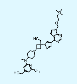 CN(c1cc(CO)cc(C(F)(F)F)n1)C1CCN([C@H]2C[C@](CC#N)(n3cc(-c4ncnc5c4ccn5COCC[Si](C)(C)C)cn3)C2)CC1